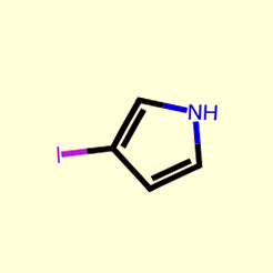 Ic1cc[nH]c1